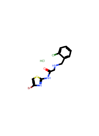 Cl.O=C(CNCc1ccccc1Cl)Nc1nc(Br)cs1